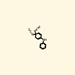 S=C=NC1(N=C=S)C=CC(Nc2ccccc2)=CC1